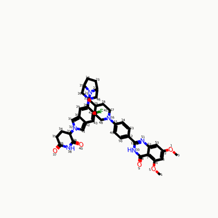 COc1cc(OC)c2c(=O)[nH]c(-c3ccc(N4CCC(CN5C6CCC5CN(c5cc7cn(C8CCC(=O)NC8=O)cc7cc5F)C6)CC4)cc3)nc2c1